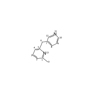 Cc1cccc(Cc2cccnc2)n1